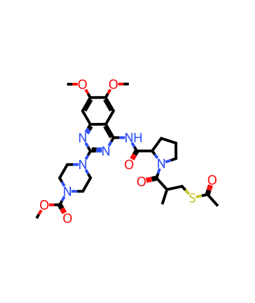 COC(=O)N1CCN(c2nc(NC(=O)C3CCCN3C(=O)C(C)CSC(C)=O)c3cc(OC)c(OC)cc3n2)CC1